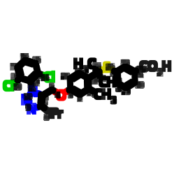 Cc1cc(OCc2c(C(C)C)nnn2-c2c(Cl)cccc2Cl)ccc1C(C)(C)Sc1cccc(C(=O)O)c1